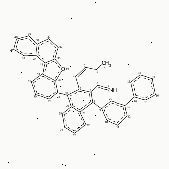 CC/C=C\c1c(C=N)c(-c2cccc(-c3ccccc3)c2)c2ccccc2c1-c1cccc2c1oc1ccc3ccccc3c12